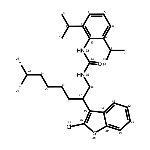 CC(C)c1cccc(C(C)C)c1NC(=O)NCC(CCCCC(F)F)c1c(Cl)sc2ccccc12